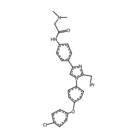 CC(C)Cc1nc(-c2ccc(NC(=O)CN(C)C)cc2)cn1-c1ccc(Oc2ccc(Cl)cc2)cc1